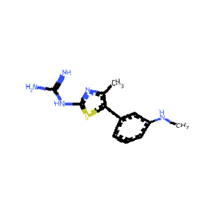 CNc1cccc(-c2sc(NC(=N)N)nc2C)c1